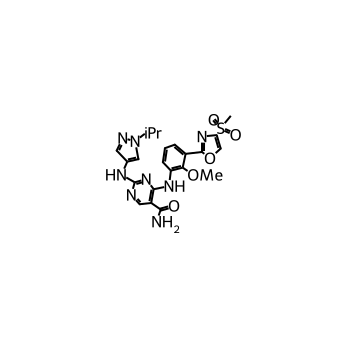 COc1c(Nc2nc(Nc3cnn(C(C)C)c3)ncc2C(N)=O)cccc1-c1nc(S(C)(=O)=O)co1